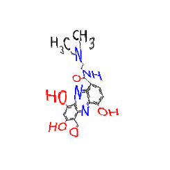 CCN(CC)CCNC(=O)c1ccc(O)c2nc3c(C=O)c(O)cc(O)c3nc12